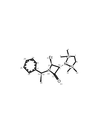 CC[C@H]1[C@H](N2[Si](C)(C)CC[Si]2(C)C)C(=O)N1[C@@H](C)c1ccccc1